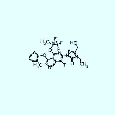 CCn1c(CO)nn(-c2nc(O[C@@H](C)C(F)(F)F)c3c(Oc4ccccc4C)nncc3c2F)c1=O